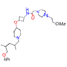 CCCOCC(C)CC(C)CN1CCC(OC2CC(NC(=O)CN3CCN(CCOC)CC3)C2)CC1